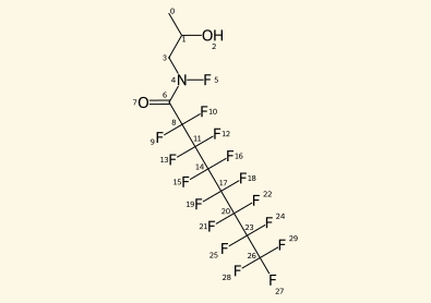 CC(O)CN(F)C(=O)C(F)(F)C(F)(F)C(F)(F)C(F)(F)C(F)(F)C(F)(F)C(F)(F)F